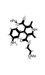 CCCOC(=O)C1=C(C)NC(C)=C(C(=O)OCCOC)C1c1cccc(N)c1